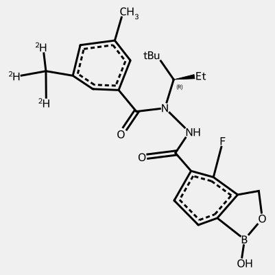 [2H]C([2H])([2H])c1cc(C)cc(C(=O)N(NC(=O)c2ccc3c(c2F)COB3O)[C@H](CC)C(C)(C)C)c1